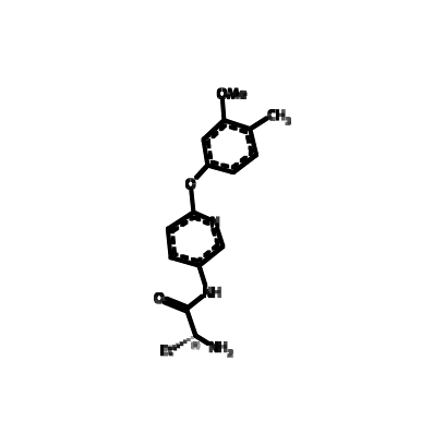 CC[C@@H](N)C(=O)Nc1ccc(Oc2ccc(C)c(OC)c2)nc1